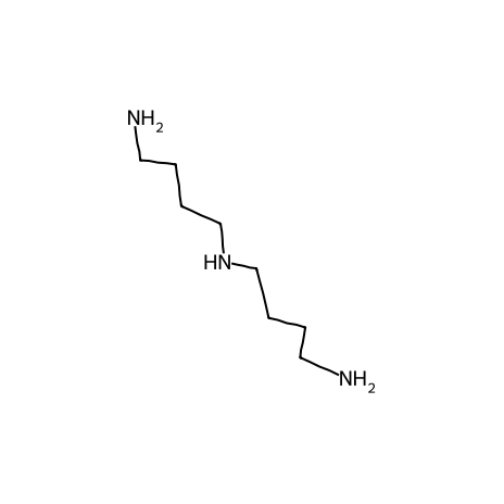 NCCCCNCCCCN